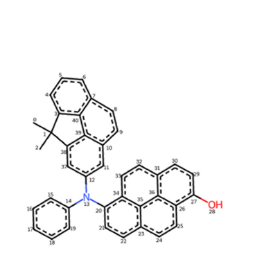 CC1(C)c2cccc3ccc4cc(N(c5ccccc5)c5ccc6ccc7c(O)ccc8ccc5c6c87)cc1c4c23